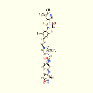 CCc1cc(N2C(=S)N(c3cnc(C#N)c(C(F)(F)F)c3)C(=O)C2(C)C)ccc1OCCN1CCN(CC(=O)Nc2cccc(NC3CCC(=O)NC3=O)c2)[C@H](C(F)(F)F)C1